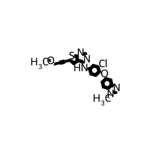 COCC#Cc1cc2c(Nc3ccc(Oc4ccc5c(c4)ncn5C)c(Cl)c3)ncnc2s1